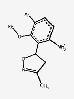 CCOc1c(Br)ccc(N)c1C1CC(C)=NO1